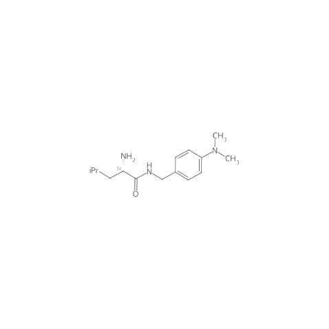 CC(C)C[C@H](N)C(=O)NCc1ccc(N(C)C)cc1